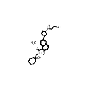 O.O=C(NCC1(O)CCCCCC1)c1c(Cl)ccc2nc(N3CC[C@H](NCCO)C3)ccc12